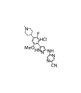 COc1cc(C2CCN(C)CC2)c(F)cc1-c1cc(Nc2cnc(C#N)cn2)n[nH]1.Cl